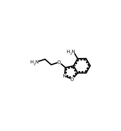 NCCOc1noc2cccc(N)c12